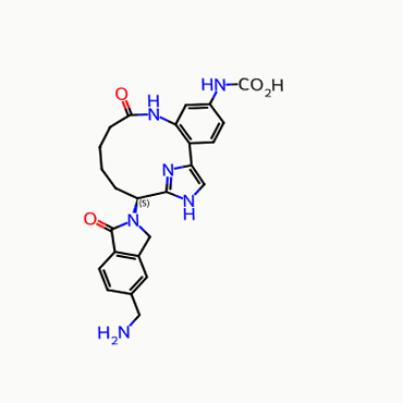 NCc1ccc2c(c1)CN([C@H]1CCCCC(=O)Nc3cc(NC(=O)O)ccc3-c3c[nH]c1n3)C2=O